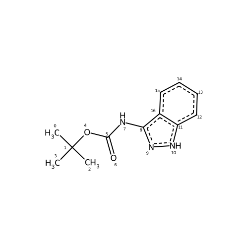 CC(C)(C)OC(=O)Nc1n[nH]c2ccccc12